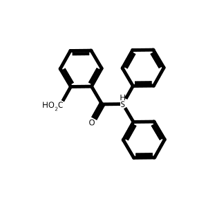 O=C(O)c1ccccc1C(=O)[SH](c1ccccc1)c1ccccc1